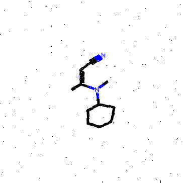 C/C(=C/C#N)N(C)C1CCCCC1